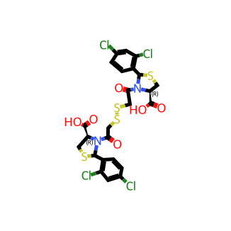 O=C(O)[C@@H]1CSC(c2ccc(Cl)cc2Cl)N1C(=O)CSSCC(=O)N1C(c2ccc(Cl)cc2Cl)SC[C@H]1C(=O)O